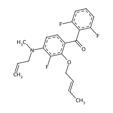 C=CCN(C)c1ccc(C(=O)c2c(F)cccc2F)c(OCC=CC)c1F